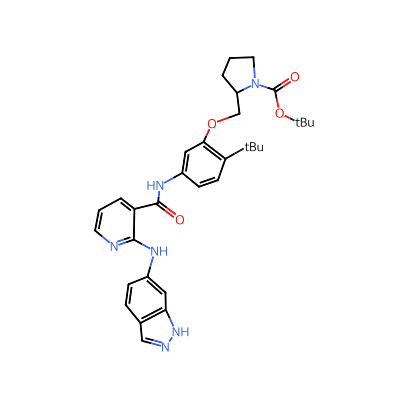 CC(C)(C)OC(=O)N1CCCC1COc1cc(NC(=O)c2cccnc2Nc2ccc3cn[nH]c3c2)ccc1C(C)(C)C